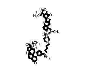 CC[C@@]1(O)C(=O)OCc2c1cc1n(c2=O)Cc2cc3c(CN(C)C)c(OC(=O)N4CCN(CCCCCN(C)c5ccc([C@H]6C[C@@]7(C)C(CC[C@]7(OC(C)=O)C(C)=O)[C@@H]7CCC8=CC(=O)CCC8=C76)cc5)CC4)ccc3nc2-1